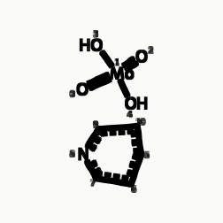 [O]=[Mo](=[O])([OH])[OH].c1ccncc1